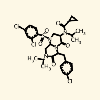 CC(C)N1CC2N(C(=O)C(N(C(=O)C3CC3)C(C)C)CN2S(=O)(=O)c2ccc(Cl)cc2Cl)C(Cc2ccc(Cl)cc2)C1=O